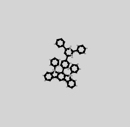 c1ccc(-c2cc(-c3ccc(-c4c5c(cc6c7ccccc7n(-c7ccccc7)c46)c4ccccc4n5-c4ccccc4)cc3)nc(-c3ccccc3)n2)cc1